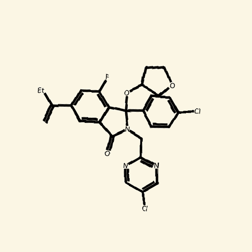 C=C(CC)c1cc(F)c2c(c1)C(=O)N(Cc1ncc(Cl)cn1)C2(OC1CCOC1)c1ccc(Cl)cc1